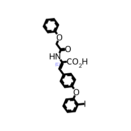 O=C(COc1ccccc1)N/C(=C/c1ccc(Oc2ccccc2I)cc1)C(=O)O